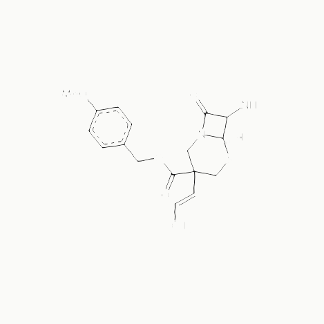 CC=CC1(C(=O)OCc2ccc(OC)cc2)CS[C@@H]2C(N)C(=O)N2C1